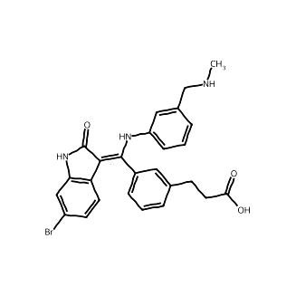 CNCc1cccc(N/C(=C2\C(=O)Nc3cc(Br)ccc32)c2cccc(CCC(=O)O)c2)c1